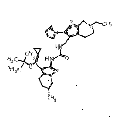 CCN1CCc2c(sc(-n3cccc3)c2CNC(=O)Nc2sc3c(c2C(OC(C)(C)C)=C2CC2)CCC(C)C3)C1